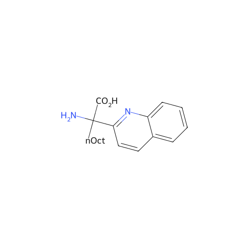 CCCCCCCCC(N)(C(=O)O)c1ccc2ccccc2n1